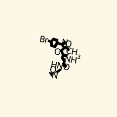 Cc1onc(-c2ccc(Br)cc2)c1C(=O)c1c[nH]c(C(=O)NCc2ncco2)c1